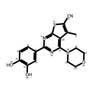 Cc1c(C#N)sc2nc(-c3ccc(O)c(O)c3)nc(N3CCOCC3)c12